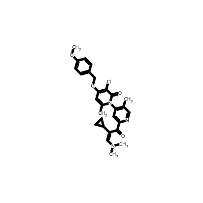 COc1ccc(COc2cc(C)n(-c3cc(C(=O)/C(=C\N(C)C)C4CC4)ncc3C)c(=O)c2Cl)cc1